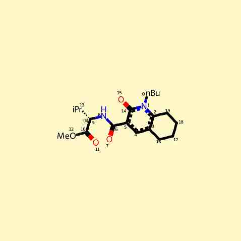 CCCCn1c2c(cc(C(=O)N[C@H](C(=O)OC)C(C)C)c1=O)CCCC2